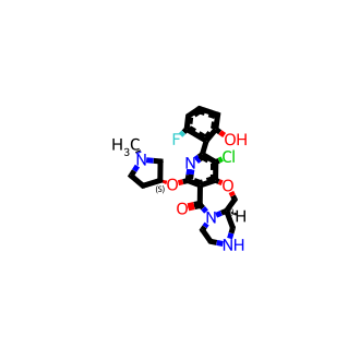 CN1CC[C@H](Oc2nc(-c3c(O)cccc3F)c(Cl)c3c2C(=O)N2CCNC[C@@H]2CO3)C1